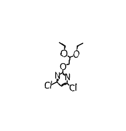 CCOC(COc1nc(Cl)cc(Cl)n1)OCC